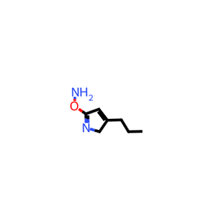 CCCC1=CC(ON)=NC1